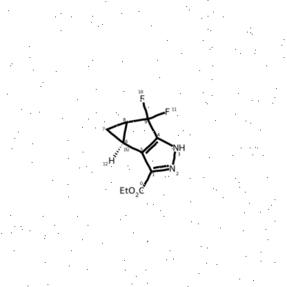 CCOC(=O)c1n[nH]c2c1[C@H]1CC1C2(F)F